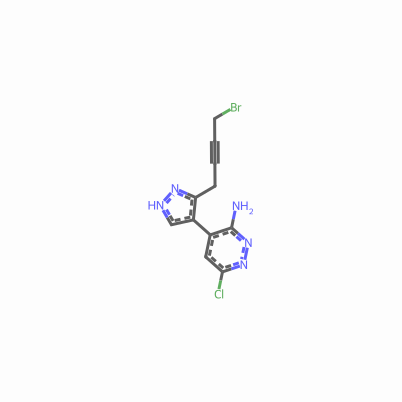 Nc1nnc(Cl)cc1-c1c[nH]nc1CC#CCBr